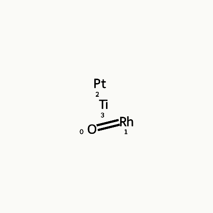 [O]=[Rh].[Pt].[Ti]